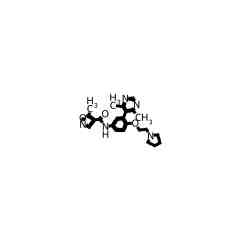 Cc1ncnc(C)c1-c1cc(NC(=O)c2cnoc2C)ccc1OCCN1CCCC1